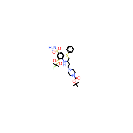 CC(C)(C)OC(=O)N1CCN(CCC(CSc2ccccc2)Nc2ccc(S(N)(=O)=O)cc2S(=O)(=O)C(C)(C)F)CC1